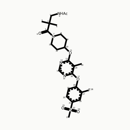 CC(=O)NCC(C)(C)C(=O)N1CCC(Oc2ncnc(Oc3ccc(S(C)(=O)=O)cc3F)c2C)CC1